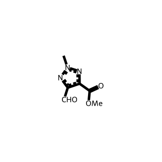 COC(=O)c1nn(C)nc1C=O